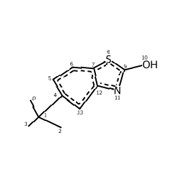 CC(C)(C)c1ccc2sc(O)nc2c1